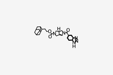 O=C(c1ccc2[nH]nnc2c1)N1C=C2CN(C(=O)OCCC3C4CC5CC(C4)CC3C5)C[C@@H]2C1